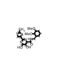 COc1cccc(CNC(=O)c2nc(-c3csc(C)n3)nc(O)c2O)c1OC